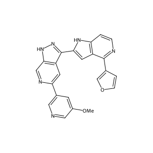 COc1cncc(-c2cc3c(-c4cc5c(-c6ccoc6)nccc5[nH]4)n[nH]c3cn2)c1